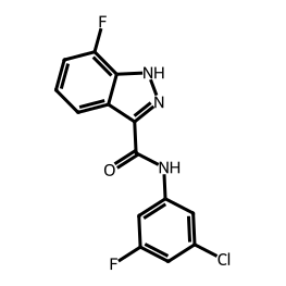 O=C(Nc1cc(F)cc(Cl)c1)c1n[nH]c2c(F)cccc12